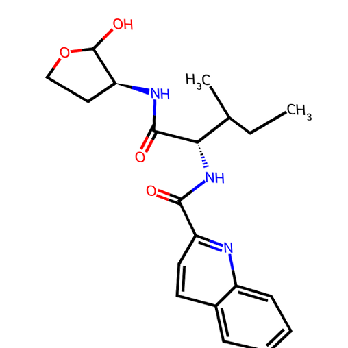 CCC(C)[C@H](NC(=O)c1ccc2ccccc2n1)C(=O)N[C@H]1CCOC1O